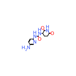 Nc1ccc(NC(=O)NC2CCC(=O)NC2=O)nc1